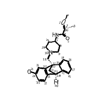 CO[C@H](C)C(=O)NC1CCN(C[C@@]23C[C@@H](c4ccccc42)c2ccc(Cl)cc23)CC1